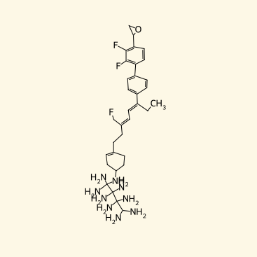 CC/C(=C\C=C(/CF)CCC1=CCC(NC(N)(N)C(N)(N)C(N)(N)C(N)N)CC1)c1ccc(-c2ccc(C3CO3)c(F)c2F)cc1